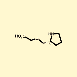 O=C(O)COC[C@H]1CCCN1